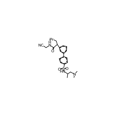 CC(C)CC(C(=O)NCC#N)c1cccc(-c2ccc(S(=O)(=O)NC(C)CN(C)C)cc2)c1